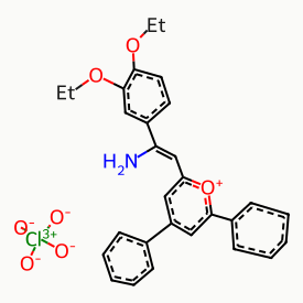 CCOc1ccc(/C(N)=C/c2cc(-c3ccccc3)cc(-c3ccccc3)[o+]2)cc1OCC.[O-][Cl+3]([O-])([O-])[O-]